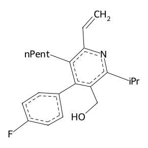 C=Cc1nc(C(C)C)c(CO)c(-c2ccc(F)cc2)c1CCCCC